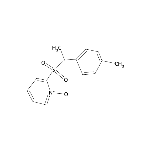 Cc1ccc(C(C)S(=O)(=O)c2cccc[n+]2[O-])cc1